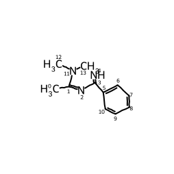 C/C(=N/C(=N)c1ccccc1)N(C)C